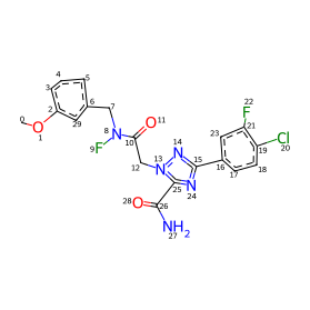 COc1cccc(CN(F)C(=O)Cn2nc(-c3ccc(Cl)c(F)c3)nc2C(N)=O)c1